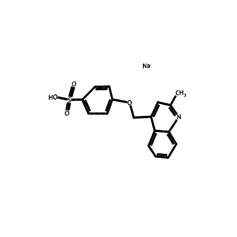 Cc1cc(COc2ccc(S(=O)(=O)O)cc2)c2ccccc2n1.[Na]